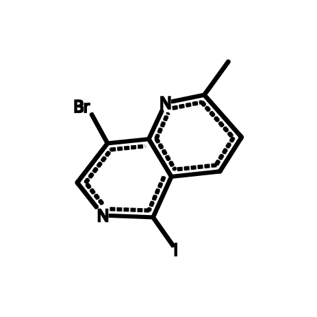 Cc1ccc2c(I)ncc(Br)c2n1